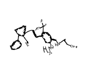 COc1cc(C=Cc2cccc(-c3ccccc3)c2CF)c(C(F)(F)F)cc1CNCCO